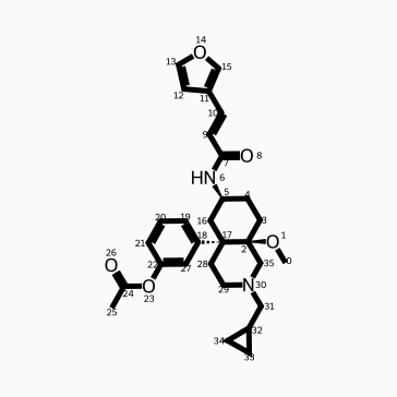 CO[C@]12CC[C@H](NC(=O)C=Cc3ccoc3)C[C@]1(c1cccc(OC(C)=O)c1)CCN(CC1CC1)C2